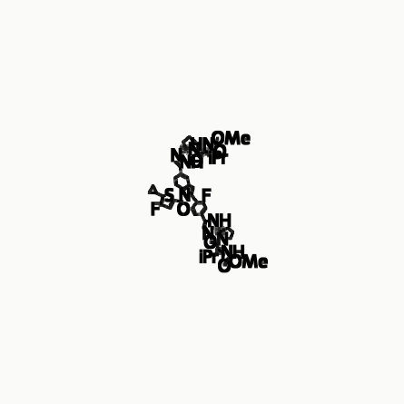 COC(=O)N[C@H](C(=O)N1CCC[C@H]1c1ncc(-c2cc(F)c3c(c2)OC(c2cc(F)c(C4CC4)s2)n2c-3cc3cc(-c4cnc([C@@H]5CCCN5C(=O)[C@@H](NC(=O)OC)C(C)C)[nH]4)ccc32)[nH]1)C(C)C